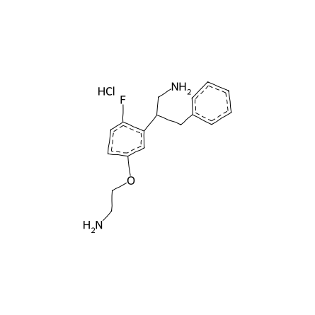 Cl.NCCOc1ccc(F)c(C(CN)Cc2ccccc2)c1